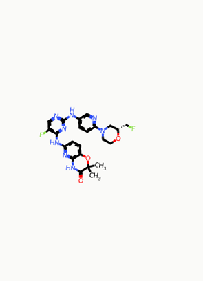 CC1(C)Oc2ccc(Nc3nc(Nc4ccc(N5CCO[C@@H](CF)C5)nc4)ncc3F)nc2NC1=O